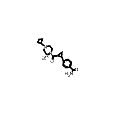 CC[C@@H]1CN(C2CCC2)CCN1C(=O)C1CC1c1ccc(C(N)=O)cc1